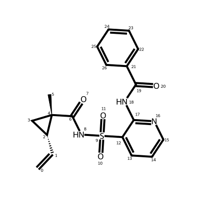 C=C[C@@H]1C[C@]1(C)C(=O)NS(=O)(=O)c1cccnc1NC(=O)c1ccccc1